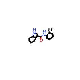 C[CH]c1ccccc1NC(=O)c1c[nH]c2ccccc12